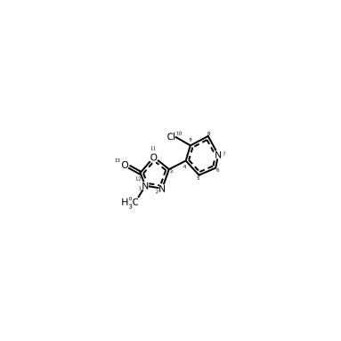 Cn1nc(-c2ccncc2Cl)oc1=O